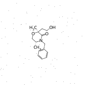 C[C@@H]1CO[C@@](C)(CCO)C(=O)N1Cc1ccccc1